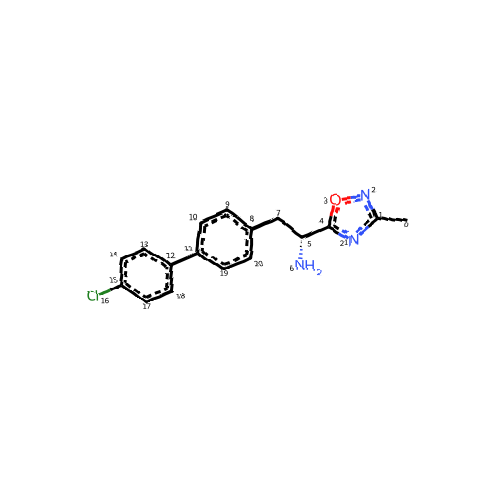 Cc1noc([C@H](N)Cc2ccc(-c3ccc(Cl)cc3)cc2)n1